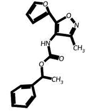 Cc1noc(-c2ccco2)c1NC(=O)OC(C)c1ccccc1